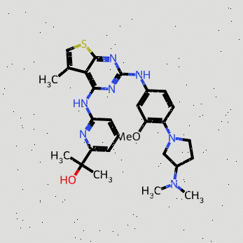 COc1cc(Nc2nc(Nc3cccc(C(C)(C)O)n3)c3c(C)csc3n2)ccc1N1CCC(N(C)C)C1